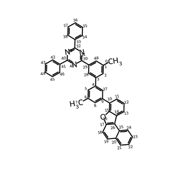 Cc1cc(-c2cc(C)cc(-c3cccc4c3oc3ccc5ccccc5c34)c2)cc(-c2nc(-c3ccccc3)nc(-c3ccccc3)n2)c1